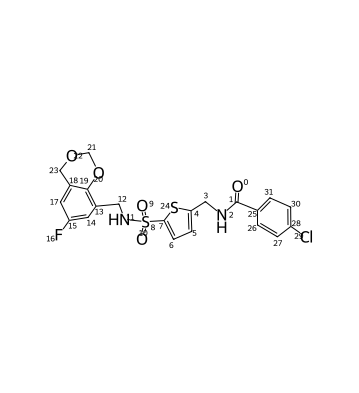 O=C(NCc1ccc(S(=O)(=O)NCc2cc(F)cc3c2OCOC3)s1)c1ccc(Cl)cc1